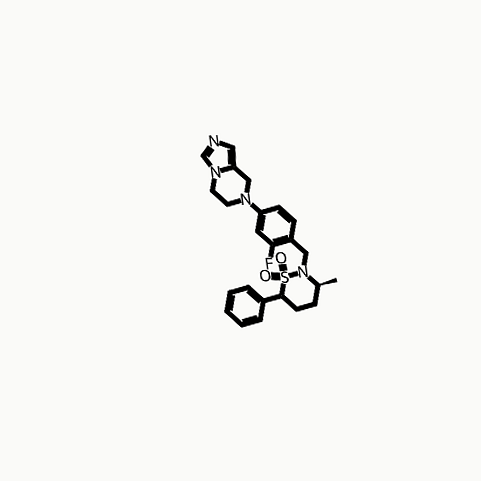 C[C@H]1CCC(c2ccccc2)S(=O)(=O)N1Cc1ccc(N2CCn3cncc3C2)cc1F